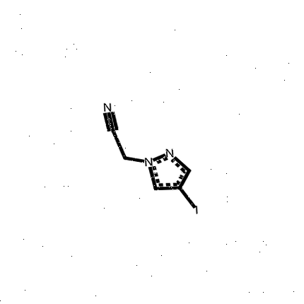 N#CCn1cc(I)cn1